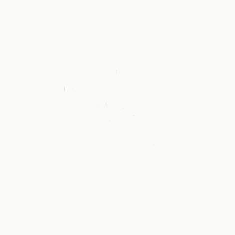 C=C1CCC(OCC)(C(=O)OC(C)(C)CC)CC1